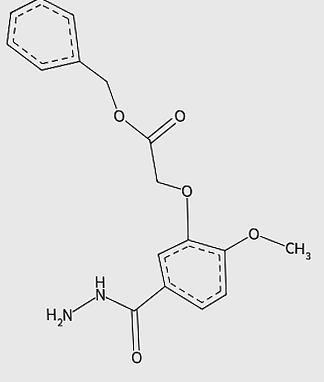 COc1ccc(C(=O)NN)cc1OCC(=O)OCc1ccccc1